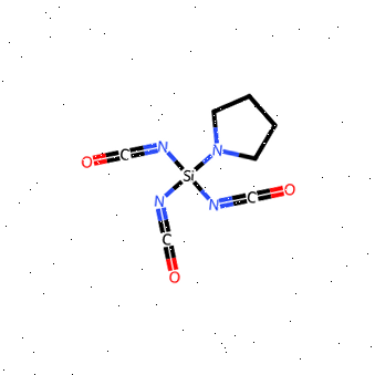 O=C=N[Si](N=C=O)(N=C=O)N1CCCC1